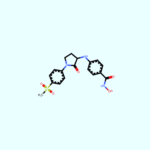 CS(=O)(=O)c1ccc(N2CCC(Nc3ccc(C(=O)NO)cc3)C2=O)cc1